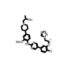 COc1cc(C2CCN(CC(C)O)CC2)ccc1Nc1ncc(-c2ccc(Cl)c(O[C@@H](C)Cn3cnnn3)c2)cn1